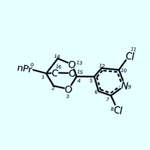 CCCC12COC(c3cc(Cl)nc(Cl)c3)(OC1)OC2